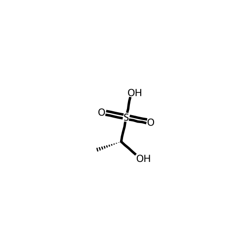 C[C@@H](O)S(=O)(=O)O